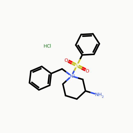 Cl.NC1CCC[N+](Cc2ccccc2)(S(=O)(=O)c2ccccc2)C1